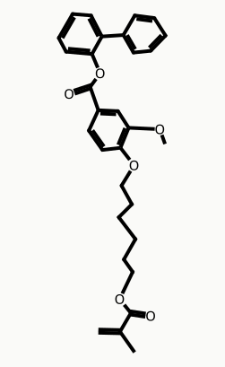 C=C(C)C(=O)OCCCCCCOc1ccc(C(=O)Oc2ccccc2-c2ccccc2)cc1OC